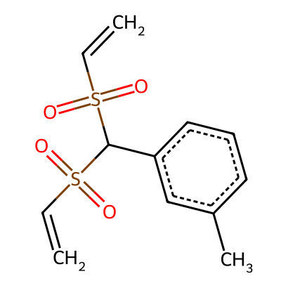 C=CS(=O)(=O)C(c1cccc(C)c1)S(=O)(=O)C=C